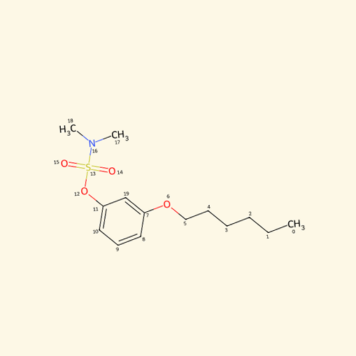 CCCCCCOc1cccc(OS(=O)(=O)N(C)C)c1